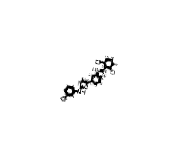 Clc1cccc(Nc2nnc(-c3ccc4nc(-c5c(Cl)cccc5Cl)[nH]c4c3)o2)c1